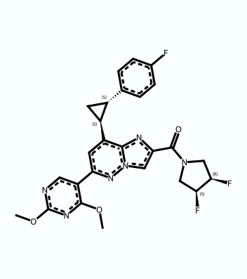 COc1ncc(-c2cc([C@H]3C[C@@H]3c3ccc(F)cc3)c3nc(C(=O)N4C[C@@H](F)[C@@H](F)C4)cn3n2)c(OC)n1